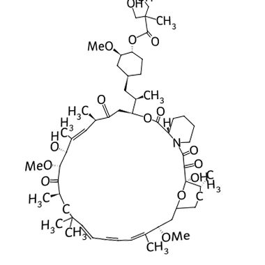 CO[C@H]1CC2CC[C@@H](C)[C@@](O)(O2)C(=O)C(=O)N2CCCC[C@H]2C(=O)O[C@H]([C@H](C)C[C@@H]2CC[C@@H](OC(=O)C(C)(CO)CO)[C@H](OC)C2)CC(=O)[C@H](C)/C=C(\C)[C@@H](O)[C@@H](OC)C(=O)[C@H](C)CC(C)(C)/C=C/C=C/C=C/1C